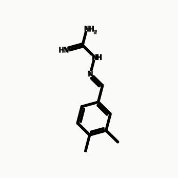 Cc1ccc(/C=N/NC(=N)N)cc1C